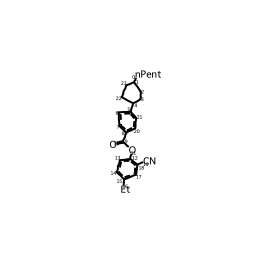 CCCCCC1CCC(c2ccc(C(=O)Oc3ccc(CC)cc3C#N)cc2)CC1